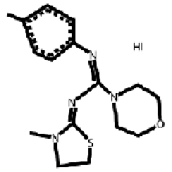 Cc1ccc(/N=C(\N=C2/SCCN2C)N2CCOCC2)cc1.I